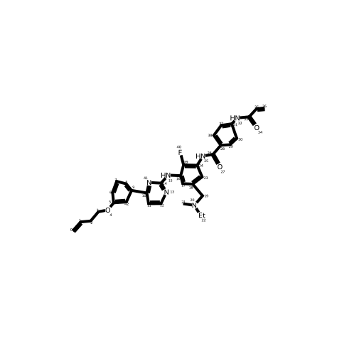 C=CCCOc1cccc(-c2ccnc(Nc3cc(CN(C)CC)cc(NC(=O)c4ccc(NC(=O)C=C)cc4)c3F)n2)c1